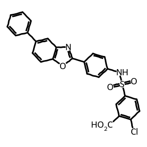 O=C(O)c1cc(S(=O)(=O)Nc2ccc(-c3nc4cc(-c5ccccc5)ccc4o3)cc2)ccc1Cl